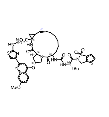 COc1ccc2c(O[C@@H]3C[C@H]4C(=O)N[C@]5(C(=O)O)CC5/C=C\CCCCC[C@H](NC(=O)N[C@H](C(=O)N5Cc6sccc6S5(=O)=O)C(C)(C)C)C(=O)N4C3)cc(-c3csc(NC(C)C)n3)nc2c1